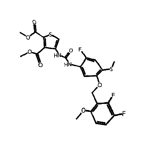 COC(=O)c1scc(NC(=O)Nc2cc(OCc3c(OC)ccc(F)c3F)c(SC)cc2F)c1C(=O)OC